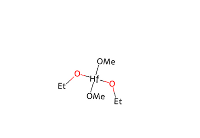 CC[O][Hf]([O]C)([O]C)[O]CC